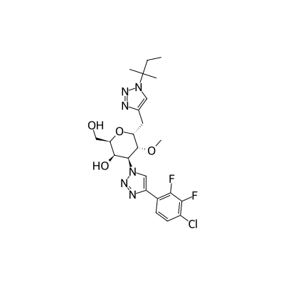 CCC(C)(C)n1cc(C[C@H]2O[C@H](CO)[C@H](O)[C@H](n3cc(-c4ccc(Cl)c(F)c4F)nn3)[C@H]2OC)nn1